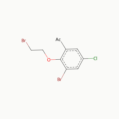 CC(=O)c1cc(Cl)cc(Br)c1OCCBr